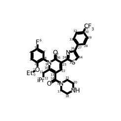 CCOc1ccc(F)cc1-n1c(CC(C)C)c(C(=O)N2CCNCC2)cc(-c2nc(-c3ccc(C(F)(F)F)cc3)cs2)c1=O